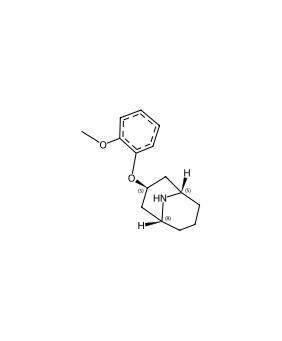 COc1ccccc1O[C@@H]1C[C@H]2CCC[C@@H](C1)N2